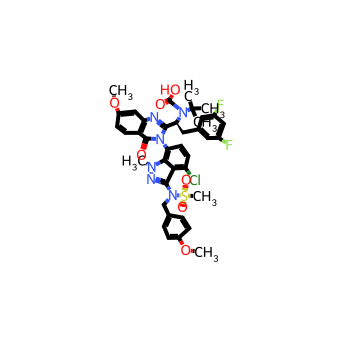 COc1ccc(CN(c2nn(C)c3c(-n4c([C@H](Cc5cc(F)cc(F)c5)N(C(=O)O)C(C)(C)C)nc5cc(OC)ccc5c4=O)ccc(Cl)c23)S(C)(=O)=O)cc1